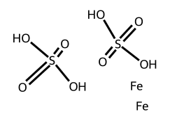 O=S(=O)(O)O.O=S(=O)(O)O.[Fe].[Fe]